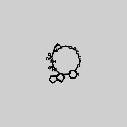 O=C1Nc2c(ccc3c2CCC3)-c2ccnc(c2)OCCCOCCn2ccc(n2)S(=O)(=O)N1